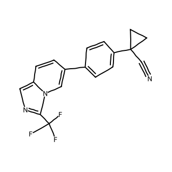 N#CC1(c2ccc(-c3ccc4cnc(C(F)(F)F)n4c3)cc2)CC1